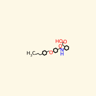 CCCCc1ccc(COc2ccc(C(=O)Nc3ccccc3CC(=O)O)cc2)cc1